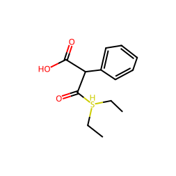 CC[SH](CC)C(=O)C(C(=O)O)c1ccccc1